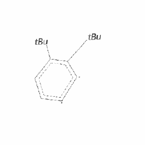 CC(C)(C)c1[c][c]ccc1C(C)(C)C